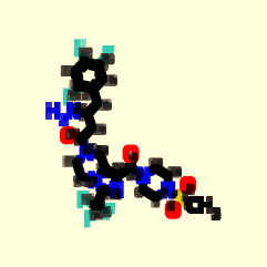 CS(=O)(=O)N1CCN(C(=O)c2nc(C(F)(F)F)n3c2CN(C(=O)CC(N)Cc2cc(F)c(F)cc2F)CC3)CC1